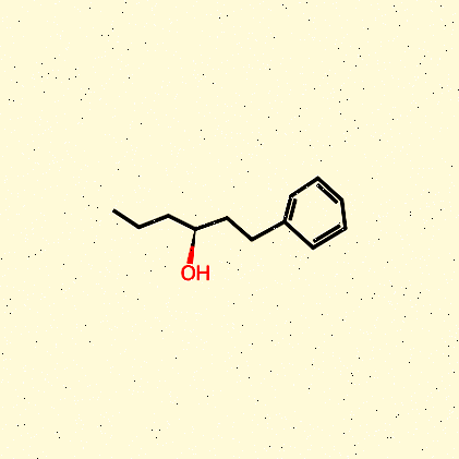 CCC[C@H](O)CCc1ccccc1